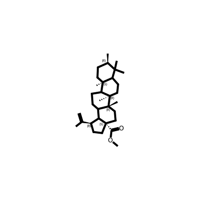 C=C(C)[C@@H]1CC[C@]2(C(=O)OC)CC[C@]3(C)C(CCC4[C@@]5(C)CC[C@@H](C)C(C)(C)C5CC[C@]43C)C12